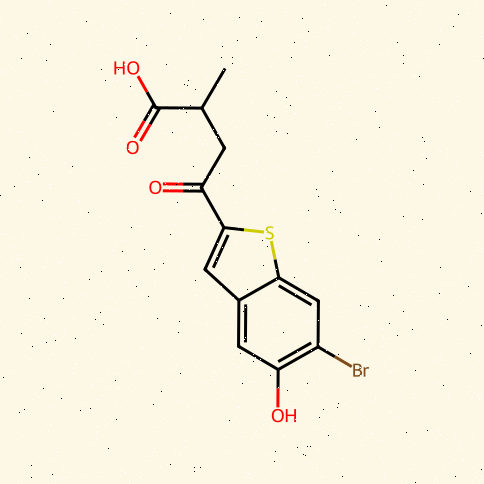 CC(CC(=O)c1cc2cc(O)c(Br)cc2s1)C(=O)O